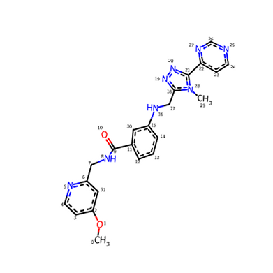 COc1ccnc(CNC(=O)c2cccc(NCc3nnc(-c4ccncn4)n3C)c2)c1